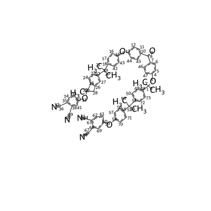 CC(C)(Oc1ccc(C(=O)c2ccc(Oc3ccc(C(C)(C)c4ccc5c(c4)CC5(C)Oc4ccc(C#N)c(C#N)c4)cc3)cc2)cc1)c1ccc(C(C)(C)c2ccc(Oc3ccc(C#N)c(C#N)c3)cc2)cc1